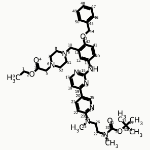 CCOC(=O)CN1CCN(Cc2cc(Nc3nccc(-c4ccc(N(C)CCN(C)C(=O)OC(C)(C)C)nc4)n3)ccc2OCc2ccccc2)CC1